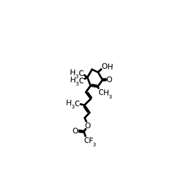 CC1=C(/C=C/C(C)=C/COC(=O)C(F)(F)F)C(C)(C)CC(O)C1=O